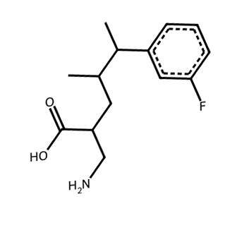 CC(CC(CN)C(=O)O)C(C)c1cccc(F)c1